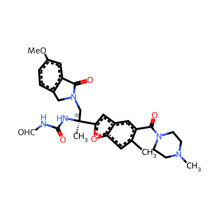 COc1ccc2c(c1)C(=O)N(C[C@](C)(NC(=O)NC=O)c1cc3cc(C(=O)N4CCN(C)CC4)c(C)cc3o1)C2